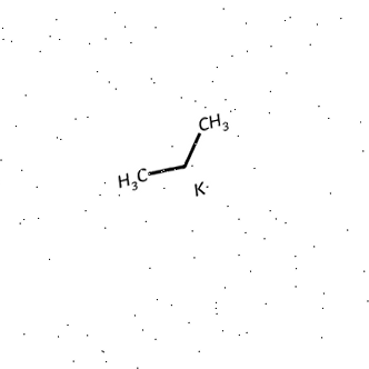 CCC.[K]